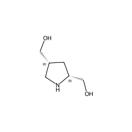 OC[C@H]1CN[C@@H](CO)C1